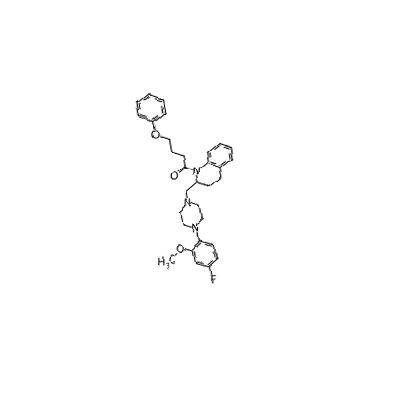 COc1cc(F)ccc1N1CCN(CC2CCc3ccccc3N2C(=O)CCCOc2ccccc2)CC1